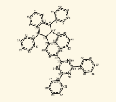 c1ccc(C2=c3ccccc3=C(c3ccccc3)C3c4ccc(-c5nc(-c6ccccc6)nc(-c6ccccc6)n5)c5cccc(c45)C23)cc1